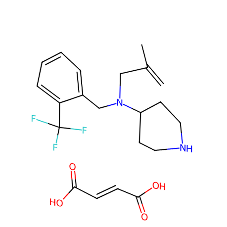 C=C(C)CN(Cc1ccccc1C(F)(F)F)C1CCNCC1.O=C(O)C=CC(=O)O